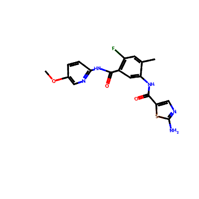 COc1ccc(NC(=O)c2cc(NC(=O)c3cnc(N)s3)c(C)cc2F)nc1